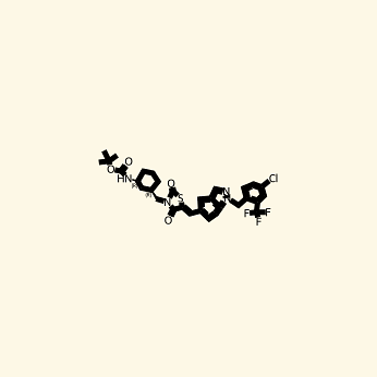 CC(C)(C)OC(=O)N[C@@H]1CCC[C@@H](CN2C(=O)SC(=Cc3ccc4c(cnn4Cc4ccc(Cl)cc4C(F)(F)F)c3)C2=O)C1